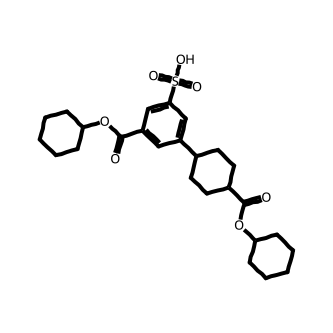 O=C(OC1CCCCC1)c1cc(C2CCC(C(=O)OC3CCCCC3)CC2)cc(S(=O)(=O)O)c1